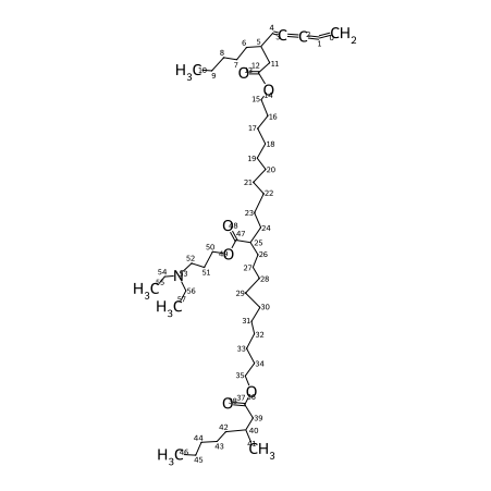 C=C=C=C=CC(CCCCC)CC(=O)OCCCCCCCCCCC(CCCCCCCCCCOC(=O)CC(C)CCCCC)C(=O)OCCCN(CC)CC